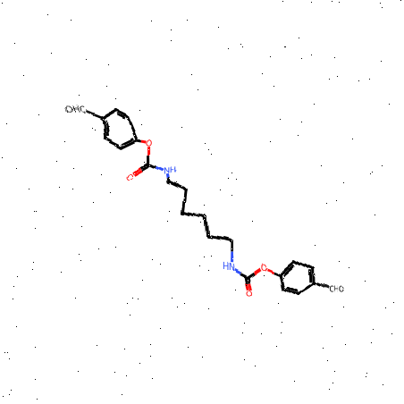 O=Cc1ccc(OC(=O)NCCCCCCNC(=O)Oc2ccc(C=O)cc2)cc1